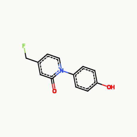 O=c1cc(CF)ccn1-c1ccc(O)cc1